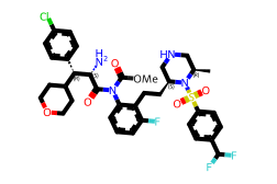 COC(=O)N(C(=O)[C@@H](N)[C@@H](c1ccc(Cl)cc1)C1CCOCC1)c1cccc(F)c1CC[C@H]1CNC[C@@H](C)N1S(=O)(=O)c1ccc(C(F)F)cc1